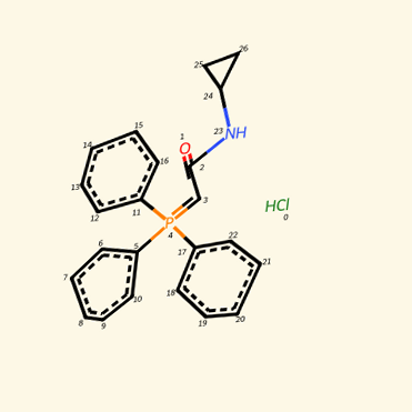 Cl.O=C(C=P(c1ccccc1)(c1ccccc1)c1ccccc1)NC1CC1